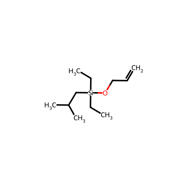 C=CCO[Si](CC)(CC)CC(C)C